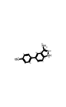 CC(C)(C)c1ccc(-c2ccc3[nH]nc(N)c3c2)cc1